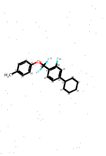 Cc1ccc(OC(F)(F)c2ccc(C3CCCCC3)cc2F)cc1